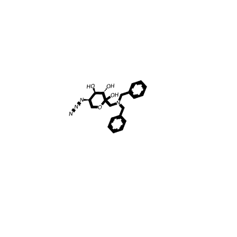 [N-]=[N+]=N[C@@H]1COC(O)(CN(Cc2ccccc2)Cc2ccccc2)[C@@H](O)[C@@H]1O